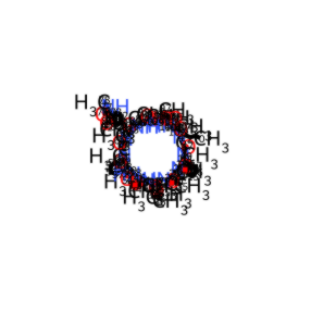 CCCCN1CC(=O)N(C)C(Cc2ccccc2)C(=O)N(C)[C@@H](CC(C)C)C(=O)N[C@@H](COC(C)(C)C)C(=O)N(C)[C@@H](CC(C)C)C(=O)N[C@H](C(=O)N2CCCCC2)CC(=O)N(C)CC(=O)N(C)[C@@H](CCc2ccc(C(=O)NC)c(OC)c2)C(=O)N[C@@H](C(C)C)C(=O)N(C)[C@@H](CC(C)C)C(=O)N[C@@H]([C@@H](C)O)C1=O